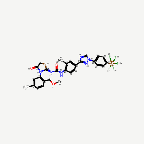 CCOCc1ccc(C)cc1N1C(=O)CSC1=NC(=O)Nc1ccc(-c2ncn(-c3ccc(S(F)(F)(F)(F)F)cc3)n2)cc1C#N